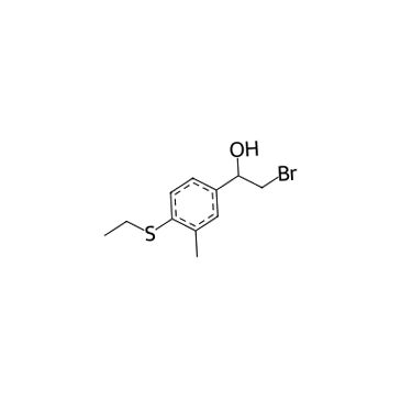 CCSc1ccc(C(O)CBr)cc1C